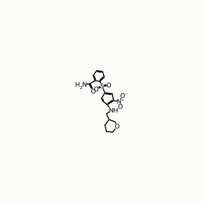 NC(=O)c1ccccc1S(=O)(=O)c1ccc(NCC2CCCOC2)c([N+](=O)[O-])c1